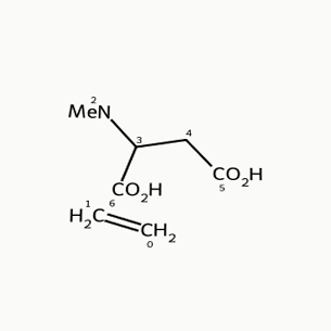 C=C.CNC(CC(=O)O)C(=O)O